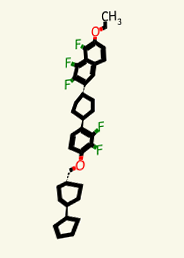 CCOc1ccc2cc([C@H]3CC[C@H](c4ccc(OC[C@H]5CC[C@H](C6CCCC6)CC5)c(F)c4F)CC3)c(F)c(F)c2c1F